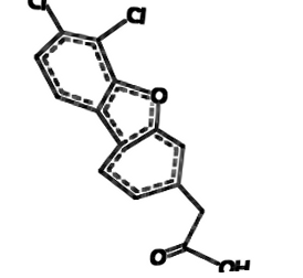 O=C(O)Cc1ccc2c(c1)oc1c(Cl)c(Cl)ccc12